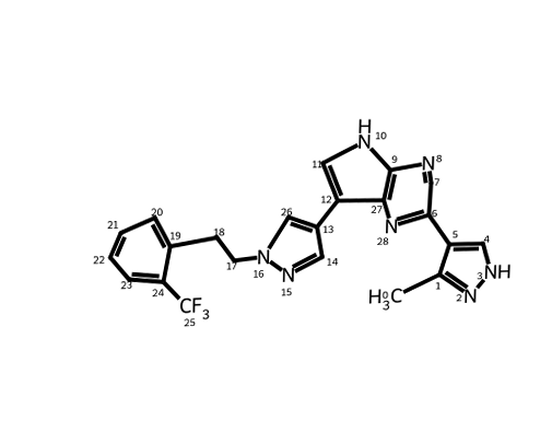 Cc1n[nH]cc1-c1cnc2[nH]cc(-c3cnn(CCc4ccccc4C(F)(F)F)c3)c2n1